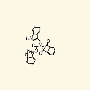 O=C(On1nnc2ccccc21)N(Cc1c[nH]c2ccccc12)N1C(=O)c2ccccc2C1=O